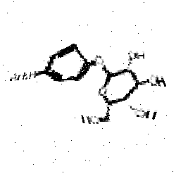 CC(=O)Nc1ccc(OC2O[C@H](CO)[C@@H](O)[C@H](O)[C@H]2O)cc1